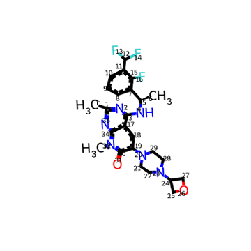 Cc1nc(N[C@H](C)c2cccc(C(F)F)c2F)c2cc(N3CCN(C4COC4)CC3)c(=O)n(C)c2n1